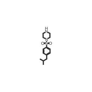 CC(C)Cc1ccc(S(=O)(=O)N2CCNCC2)cc1